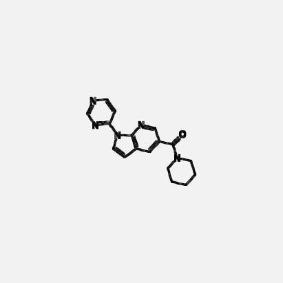 O=C(c1cnc2c(ccn2-c2ccncn2)c1)N1CCCCC1